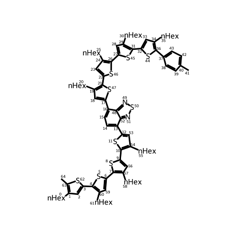 CCCCCCc1cc(-c2sc(-c3sc(-c4sc(-c5ccc(-c6cc(CCCCCC)c(-c7cc(CCCCCC)c(-c8cc(CCCCCC)c(-c9cc(CCCCCC)c(-c%10ccc(C)cc%10)s9)s8)s7)s6)c6nsnc56)cc4CCCCCC)cc3CCCCCC)cc2CCCCCC)sc1C